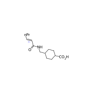 CCC/C=C/C(=O)NCC1CCC(C(=O)O)CC1